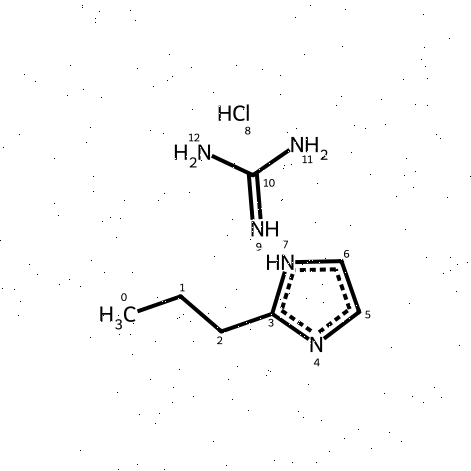 CCCc1ncc[nH]1.Cl.N=C(N)N